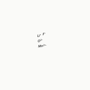 [F-].[Li+].[Mn+2].[O-2]